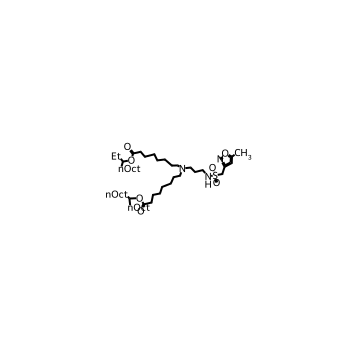 CCCCCCCCC(CC)OC(=O)CCCCCCCN(CCCCCCCC(=O)OC(CCCCCCCC)CCCCCCCC)CCCNS(=O)(=O)Cc1cc(C)on1